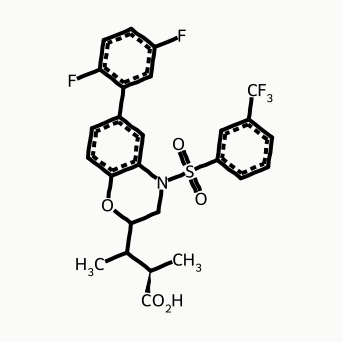 CC(C1CN(S(=O)(=O)c2cccc(C(F)(F)F)c2)c2cc(-c3cc(F)ccc3F)ccc2O1)[C@@H](C)C(=O)O